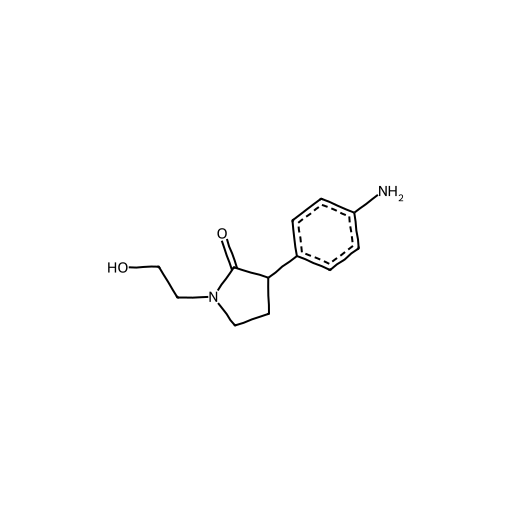 Nc1ccc(C2CCN(CCO)C2=O)cc1